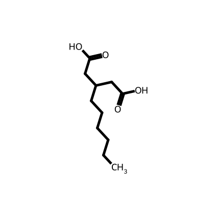 CCCCCCC(CC(=O)O)CC(=O)O